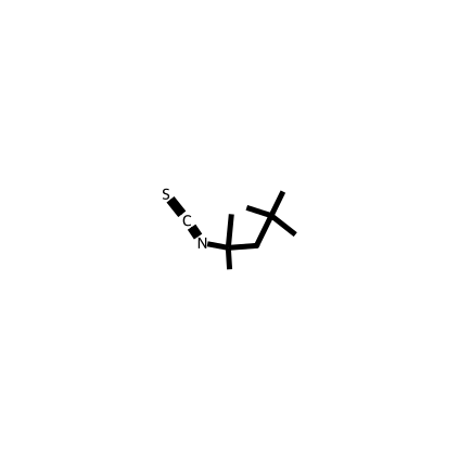 CC(C)(C)CC(C)(C)N=C=S